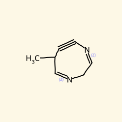 CC1C#C/N=C\C/N=C\1